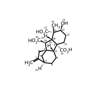 C=C1C[C@]23C[C@H]1CC[C@H]2[C@]1(C(=O)O)CC[C@H](O)[C@@](C)(C(=O)O)[C@H]1[C@@H]3C(=O)O